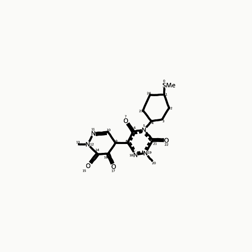 CSC1CCC(n2c(=O)c(C3C=NN(C)C(=O)C3=O)nn(C)c2=O)CC1